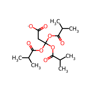 CC(C)C(=O)OC(CC([O])=O)(OC(=O)C(C)C)OC(=O)C(C)C